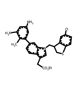 CCOC(=O)Cc1cn(CC2CSc3ccc(Cl)cc32)c2cc(-c3cc(N)cc(N)c3C)ccc12